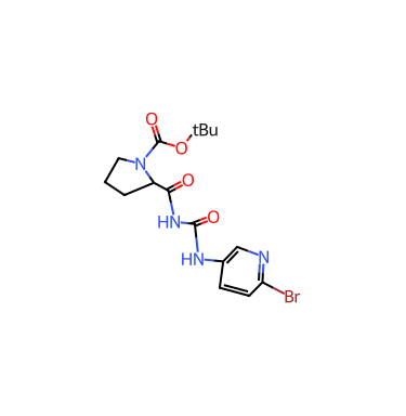 CC(C)(C)OC(=O)N1CCCC1C(=O)NC(=O)Nc1ccc(Br)nc1